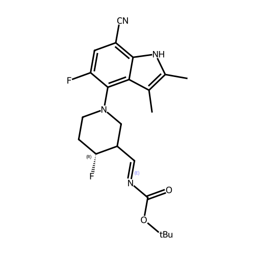 Cc1[nH]c2c(C#N)cc(F)c(N3CC[C@@H](F)C(/C=N/C(=O)OC(C)(C)C)C3)c2c1C